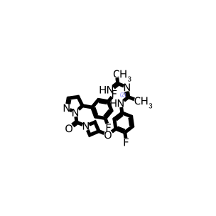 CC(=N)/N=C(/C)Nc1ccc(F)c(OC2CN(C(=O)N3N=CCC3c3cc(F)cc(F)c3)C2)c1